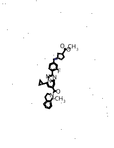 COC(=O)C1CC/C(=C\c2ccc(-c3nc4cc(C(=O)N5CCc6ccccc6[C@H]5C)cc(C5CC5)n4n3)c(F)c2)C1